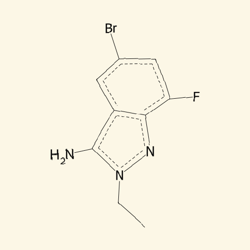 CCn1nc2c(F)cc(Br)cc2c1N